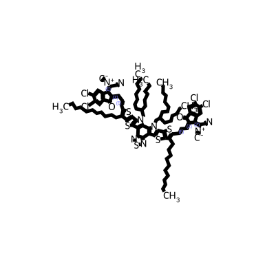 [C-]#[N+]\C(C#N)=C1/C(=C/C=C/c2sc3c(sc4c5c6nsnc6c6c7sc8c(CCCCCCCCCCC)c(/C=C/C=C9\C(=O)c%10cc(Cl)c(Cl)cc%10\C9=C(\C#N)[N+]#[C-])sc8c7n(CC(CCCCCC)CCCCCCCC)c6c5n(CC(CCCCCC)CCCCCCCC)c34)c2CCCCCCCCCCC)C(=O)c2cc(Cl)c(Cl)cc21